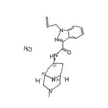 C=CCn1nc(C(=O)N[C@@H]2C[C@@H]3CN(C)C[C@H](C2)N3C)c2ccccc21.Cl